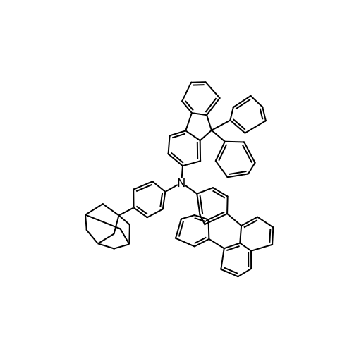 c1ccc(-c2cccc3cccc(-c4ccc(N(c5ccc(C67CC8CC(CC(C8)C6)C7)cc5)c5ccc6c(c5)C(c5ccccc5)(c5ccccc5)c5ccccc5-6)cc4)c23)cc1